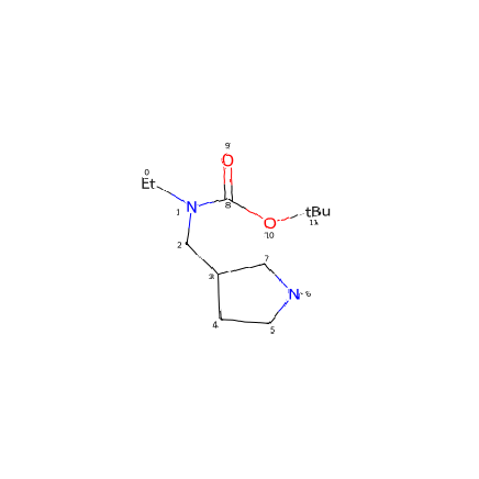 CCN(CC1CC[N]C1)C(=O)OC(C)(C)C